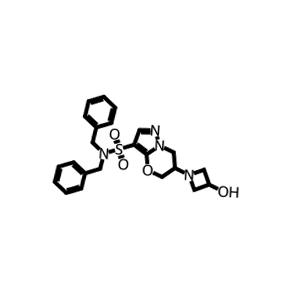 O=S(=O)(c1cnn2c1OCC(N1CC(O)C1)C2)N(Cc1ccccc1)Cc1ccccc1